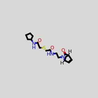 O=C(CSCC(=O)NC1CCCC1)NCCN1C(=O)[C@@H]2C=C[C@H]1C2